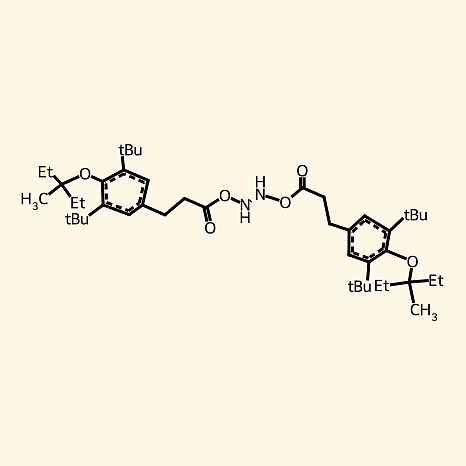 CCC(C)(CC)Oc1c(C(C)(C)C)cc(CCC(=O)ONNOC(=O)CCc2cc(C(C)(C)C)c(OC(C)(CC)CC)c(C(C)(C)C)c2)cc1C(C)(C)C